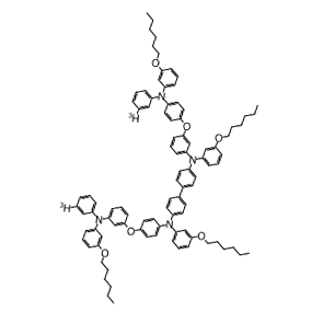 [3H]c1cccc(N(c2ccc(Oc3cccc(N(c4ccc(-c5ccc(N(c6ccc(Oc7cccc(N(c8cccc([3H])c8)c8cccc(OCCCCCC)c8)c7)cc6)c6cccc(OCCCCCC)c6)cc5)cc4)c4cccc(OCCCCCC)c4)c3)cc2)c2cccc(OCCCCCC)c2)c1